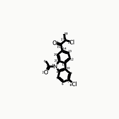 CC(=O)n1c2ccc(Cl)cc2c2ccc(C(=O)C(C)Cl)cc21